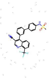 CS(=O)(=O)Nc1ccc(-c2cccc(-c3c(C#N)cnc4c(C(F)(F)F)cccc34)c2)cc1